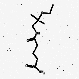 CCOC(C)(C)CNC(=O)CCCC(N)=O